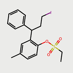 CCS(=O)(=O)Oc1ccc(C)cc1C(CCI)c1ccccc1